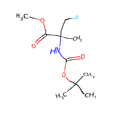 COC(=O)C(C)(CF)NC(=O)OC(C)(C)C